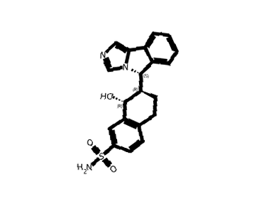 NS(=O)(=O)c1ccc2c(c1)[C@H](O)[C@@H]([C@H]1c3ccccc3-c3cncn31)CC2